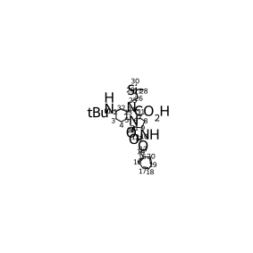 CC(C)(C)NC1CCC(N2CC[C@H](NC(=O)OCc3ccccc3)C2=O)[C@H](N(CC[Si](C)(C)C)C(=O)O)C1